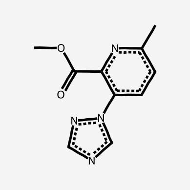 COC(=O)c1nc(C)ccc1-n1cncn1